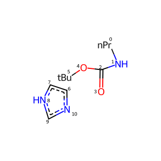 CCCNC(=O)OC(C)(C)C.c1c[nH]cn1